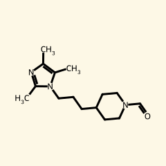 Cc1nc(C)n(CCCC2CCN(C=O)CC2)c1C